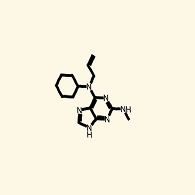 C=CCN(c1nc(NC)nc2[nH]cnc12)C1CCCCC1